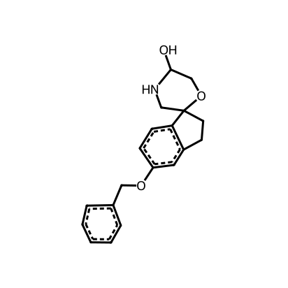 OC1COC2(CCc3cc(OCc4ccccc4)ccc32)CN1